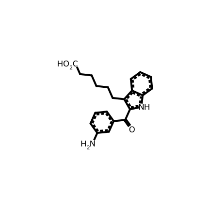 Nc1cccc(C(=O)c2[nH]c3ccccc3c2CCCCCC(=O)O)c1